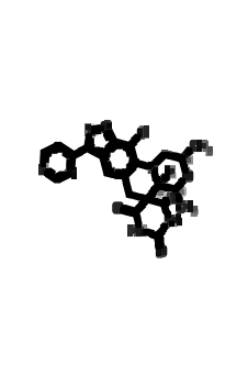 C[C@@H]1CN2c3c(cc4c(-c5ccncn5)noc4c3Cl)CC3(C(=O)NC(=O)NC3=O)[C@H]2[C@H](C)O1